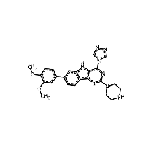 COc1ccc(-c2ccc3c(c2)[nH]c2c(-n4cnnc4)nc(N4CCNCC4)nc23)cc1OC